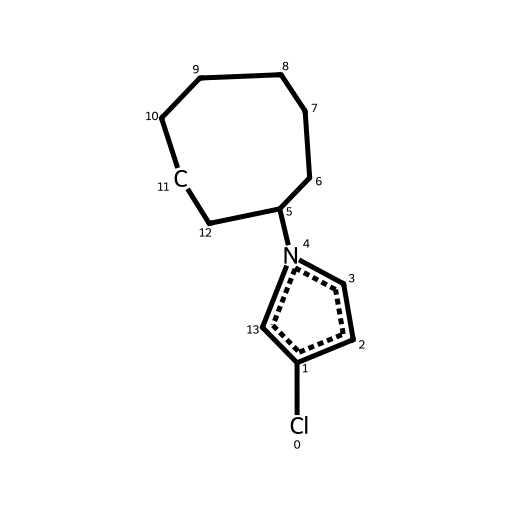 Clc1ccn(C2CCCCCCC2)c1